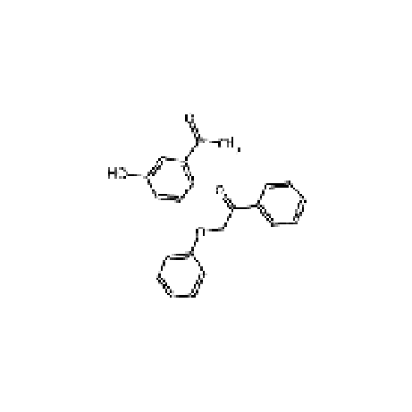 CC(=O)c1cccc(O)c1.O=C(COc1ccccc1)c1ccccc1